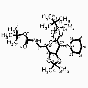 CC(C)(C)OC(=O)NCC1OC(O[Si](C)(C)C(C)(C)C)[C@@H](N2CCCCC2)C2OC(C)(C)OC12